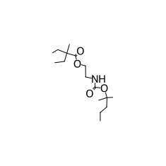 CCCC(C)(C)OC(=O)NCCOC(=O)C(C)(CC)CC